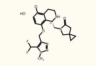 Cl.Cn1nnc(COc2ccc(Cl)c3c2[C@@H](CN2CC4(CC4)CC2=O)NCC3)c1C(F)F